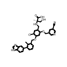 Cc1c(COc2cc(OCc3cncc(C#N)c3)c(CN[C@](C)(CO)C(=O)O)cc2Cl)cccc1-c1ccc2[nH]cnc2c1